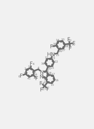 Fc1cc(F)c(Cn2nc3c(C(F)(F)F)cccc3c2-c2ccc(NCc3cc(C(F)(F)F)ccc3F)cc2)c(F)c1